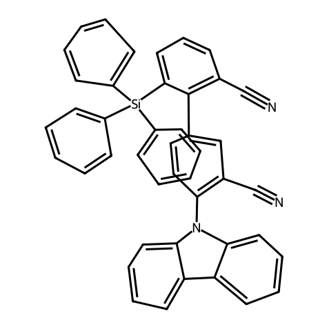 N#Cc1cc(-c2c(C#N)cccc2[Si](c2ccccc2)(c2ccccc2)c2ccccc2)ccc1-n1c2ccccc2c2ccccc21